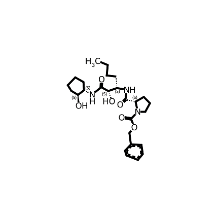 CCCC[C@H](NC(=O)[C@@H]1CCCN1C(=O)OCc1ccccc1)[C@H](O)C(=O)N[C@H]1CCCC[C@@H]1O